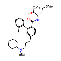 CCCCN(CCCc1ccc(C(=O)N[C@@H](CCSC)C(=O)OC)c(-c2ccccc2C)c1)C1CCCCC1